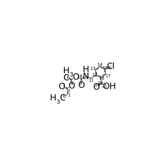 CCC(=O)O[C@@H](C)OC(=O)NCc1ccc(Cl)cc1C(=O)O